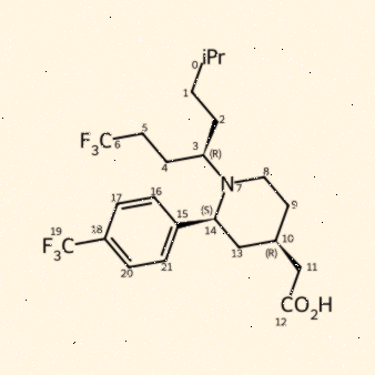 CC(C)CC[C@H](CCC(F)(F)F)N1CC[C@@H](CC(=O)O)C[C@H]1c1ccc(C(F)(F)F)cc1